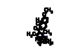 C=N/C(NC1(C)CC1)=C(\C)C(C(=O)N1CCc2ccc(OCC)cc2C1C)=C(C)C